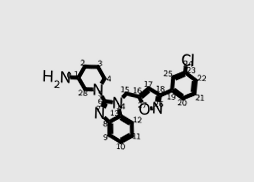 NC1CCCN(c2nc3ccccc3n2Cc2cc(-c3cccc(Cl)c3)no2)C1